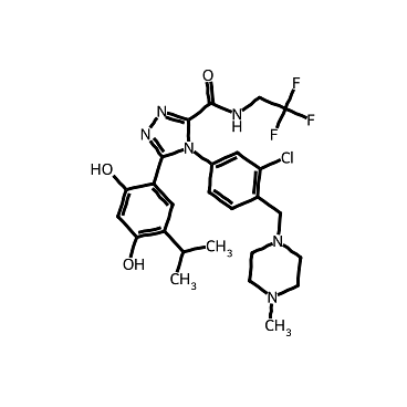 CC(C)c1cc(-c2nnc(C(=O)NCC(F)(F)F)n2-c2ccc(CN3CCN(C)CC3)c(Cl)c2)c(O)cc1O